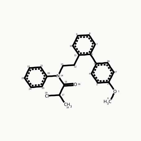 COc1ccc(-c2ccccc2CCN(C(=O)C(C)Cl)c2ccccc2)cc1